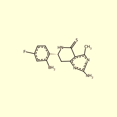 Bc1cc(F)ccc1[C@H]1Cc2nc(N)nc(C)c2C(=S)N1